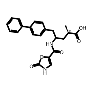 C[C@H](CC(Cc1ccc(-c2ccccc2)cc1)NC(=O)c1c[nH]c(=O)o1)C(=O)O